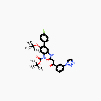 CC(C)(C)OC(=O)Nc1cc(OC(C)(C)C)c(-c2ccc(F)cc2)cc1NC(=O)CC(=O)c1cccc(-n2ccnn2)c1